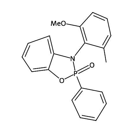 COc1cccc(C)c1N1c2ccccc2OP1(=O)c1ccccc1